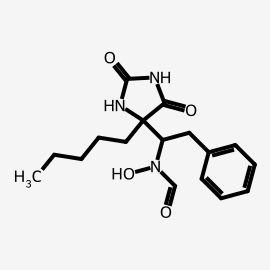 CCCCCC1(C(Cc2ccccc2)N(O)C=O)NC(=O)NC1=O